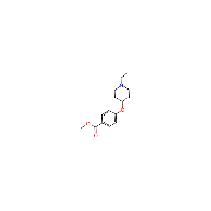 CCN1CCC(Oc2ccc(C(=O)OC)cc2)CC1